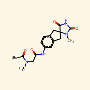 CN(CC(=O)Nc1ccc2c(c1)CC1(C2)C(=O)NC(=O)N1C)C(=O)C(C)(C)C